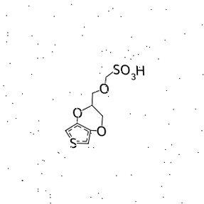 O=S(=O)(O)COCC1COc2cscc2O1